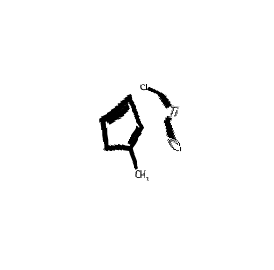 CC1=CC=C[CH]1.[Cl][Ti][Cl]